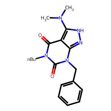 CCCCn1c(=O)c2c(N(C)C)[nH]nc2n(Cc2ccccc2)c1=O